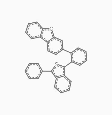 c1ccc(-c2sc(-c3ccccc3-c3ccc4c(c3)oc3ccccc34)c3ccccc23)cc1